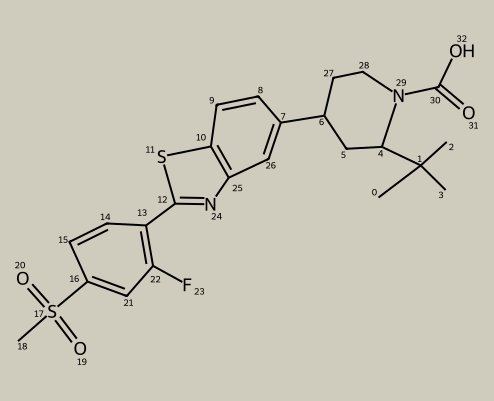 CC(C)(C)C1CC(c2ccc3sc(-c4ccc(S(C)(=O)=O)cc4F)nc3c2)CCN1C(=O)O